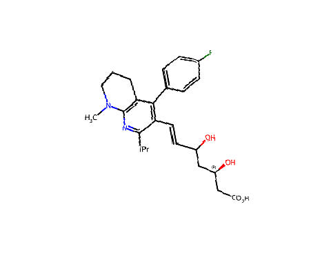 CC(C)c1nc2c(c(-c3ccc(F)cc3)c1C=CC(O)C[C@@H](O)CC(=O)O)CCCN2C